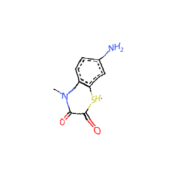 CN1C(=O)C(=O)[SH]c2cc(N)ccc21